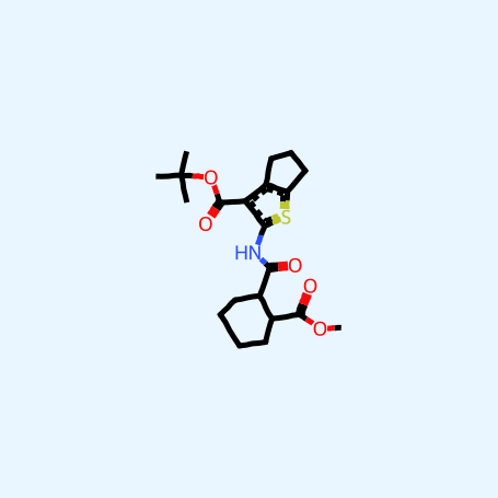 COC(=O)C1CCCCC1C(=O)Nc1sc2c(c1C(=O)OC(C)(C)C)CCC2